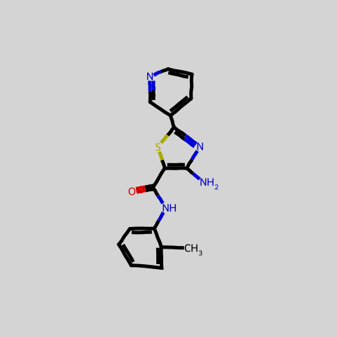 Cc1ccccc1NC(=O)c1sc(-c2cccnc2)nc1N